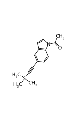 CC(=O)n1ccc2cc(C#C[Si](C)(C)C)ccc21